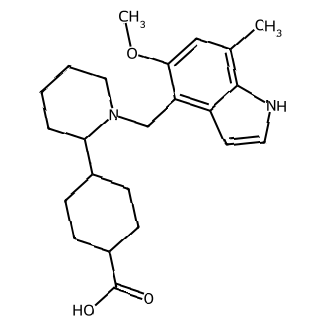 COc1cc(C)c2[nH]ccc2c1CN1CCCCC1C1CCC(C(=O)O)CC1